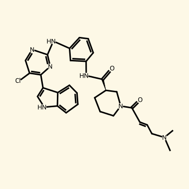 CN(C)C/C=C/C(=O)N1CCC[C@@H](C(=O)Nc2cccc(Nc3ncc(Cl)c(-c4c[nH]c5ccccc45)n3)c2)C1